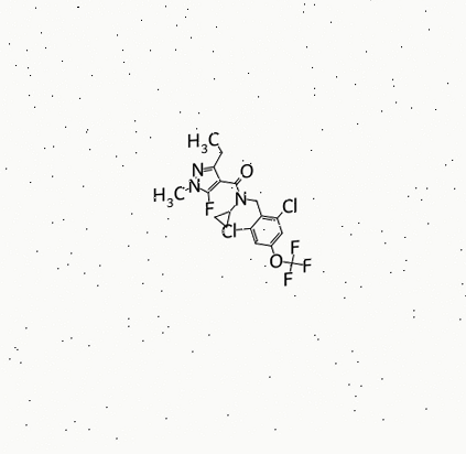 CCc1nn(C)c(F)c1C(=O)N(Cc1c(Cl)cc(OC(F)(F)F)cc1Cl)C1CC1